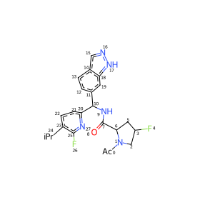 CC(=O)N1CC(F)CC1C(=O)NC(c1ccc2cn[nH]c2c1)c1ccc(C(C)C)c(F)n1